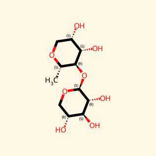 C[C@@H]1OC[C@H](O)[C@H](O)[C@H]1O[C@@H]1OC[C@@H](O)[C@H](O)[C@H]1O